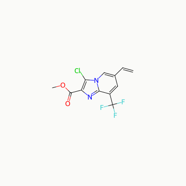 C=Cc1cc(C(F)(F)F)c2nc(C(=O)OC)c(Cl)n2c1